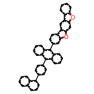 c1ccc2c(-c3ccc(-c4c5ccccc5c(-c5ccc6c(c5)oc5cc7oc8ccccc8c7cc56)c5ccccc45)cc3)cccc2c1